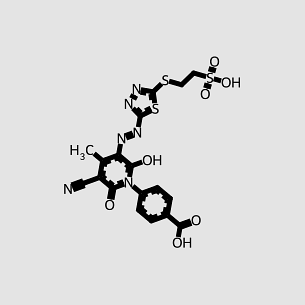 Cc1c(N=Nc2nnc(SCCS(=O)(=O)O)s2)c(O)n(-c2ccc(C(=O)O)cc2)c(=O)c1C#N